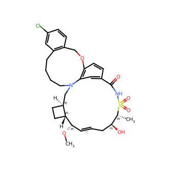 CO[C@H]1/C=C/C[C@H](O)[C@@H](C)S(=O)(=O)NC(=O)c2ccc3c(c2)N(CCCCc2cc(Cl)ccc2CO3)C[C@@H]2CC[C@H]21